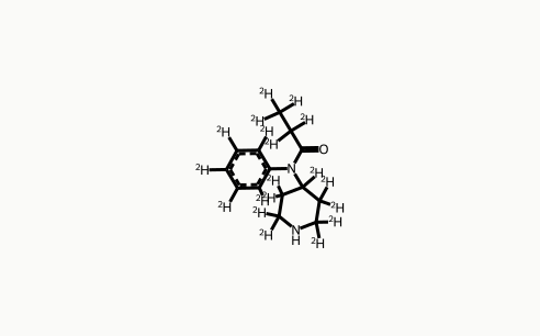 [2H]c1c([2H])c([2H])c(N(C(=O)C([2H])([2H])C([2H])([2H])[2H])C2([2H])C([2H])([2H])C([2H])([2H])NC([2H])([2H])C2([2H])[2H])c([2H])c1[2H]